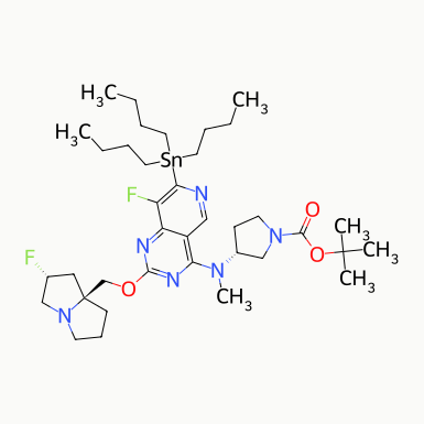 CCC[CH2][Sn]([CH2]CCC)([CH2]CCC)[c]1ncc2c(N(C)[C@@H]3CCN(C(=O)OC(C)(C)C)C3)nc(OC[C@@]34CCCN3C[C@H](F)C4)nc2c1F